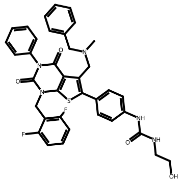 CN(Cc1ccccc1)Cc1c(-c2ccc(NC(=O)NCCO)cc2)sc2c1c(=O)n(-c1ccccc1)c(=O)n2Cc1c(F)cccc1F